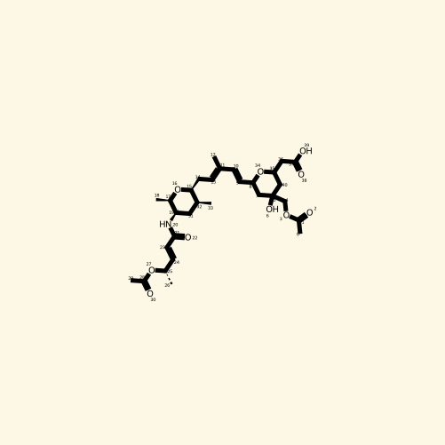 CC(=O)OCC1(O)CC(C=CC(C)=CC[C@@H]2O[C@H](C)[C@H](NC(=O)C=C[C@H](C)OC(C)=O)C[C@@H]2C)OC(CC(=O)O)C1